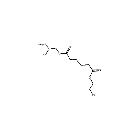 CCCCCC(CC)COC(=O)CCCCC(=O)OCCO